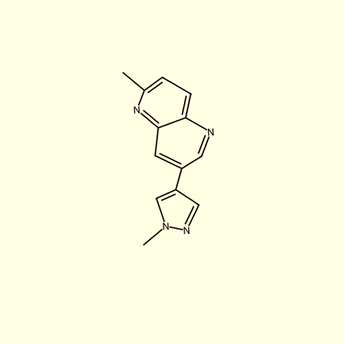 Cc1ccc2ncc(-c3cnn(C)c3)cc2n1